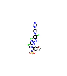 CN1CCN(C2CCN(c3cc(Cl)c(Nc4ncc(Cl)c(Nc5cc6c(cc5N(C)S(C)(=O)=O)CCO6)n4)cc3Cl)CC2)CC1